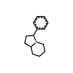 c1ccc(C2CCC3CCCCN32)cc1